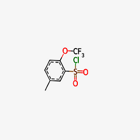 Cc1ccc(OC(F)(F)F)c(S(=O)(=O)Cl)c1